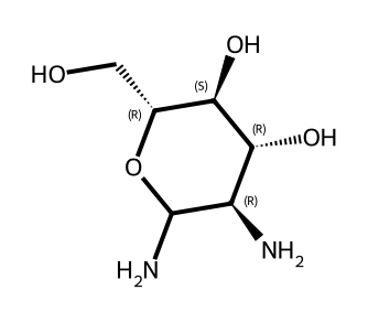 NC1O[C@H](CO)[C@@H](O)[C@H](O)[C@H]1N